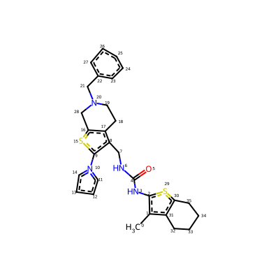 Cc1c(NC(=O)NCc2c(-n3cccc3)sc3c2CCN(Cc2ccccc2)C3)sc2c1CCCC2